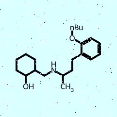 CCCCOc1ccccc1CCC(C)NCC1CCCCC1O